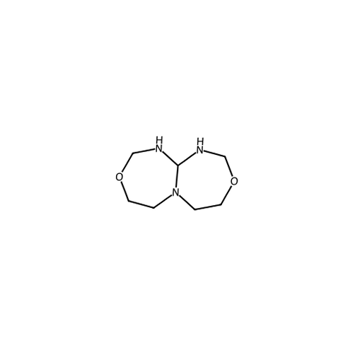 C1CN2CCOCNC2NCO1